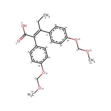 CCC(=C(C(=O)O)c1ccc(OCOC)cc1)c1ccc(OCOC)cc1